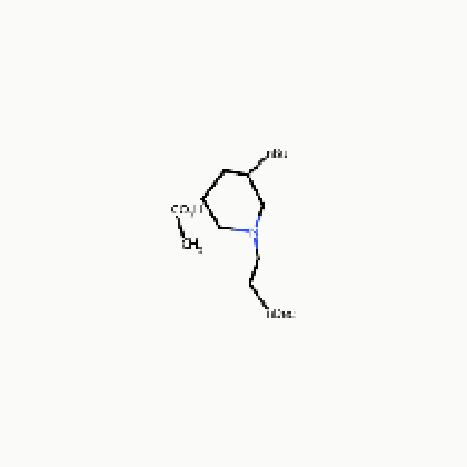 CC(=O)O.CCCCCCCCCCCCN1CCCC(CCCC)C1